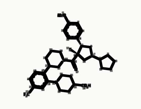 COc1ccc([C@@H]2CN(C3CCCC3)C[C@@]2(F)C(=O)N2CCCC(c3ccc(C(F)(F)F)cc3N3CCC(C(=O)O)CC3)C2)cc1